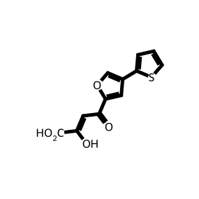 O=C(O)C(O)=CC(=O)c1cc(-c2cccs2)co1